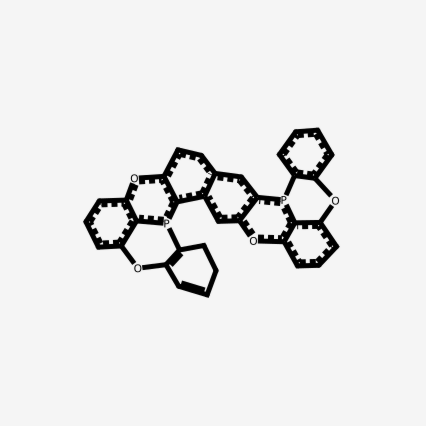 C1=CC2=C(CC1)p1c3c(cccc3oc3ccc4cc5c(cc4c31)oc1cccc3c1p5-c1ccccc1O3)O2